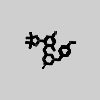 COc1ccc(CN2CC(Cc3c(C)cc(Cl)cc3B3OC(C)(C)C(C)(C)O3)O[C@@H](C)C2)cc1